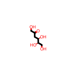 O=C(CO)C[C@@H](O)[C@H](O)CO